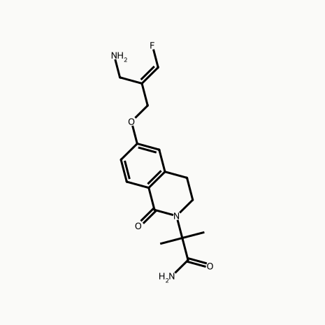 CC(C)(C(N)=O)N1CCc2cc(OC/C(=C/F)CN)ccc2C1=O